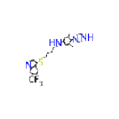 Cc1cc(NCCCCCCSc2ccnc3cc(C(F)(F)F)ccc23)cc(C)c1N1CCNCC1